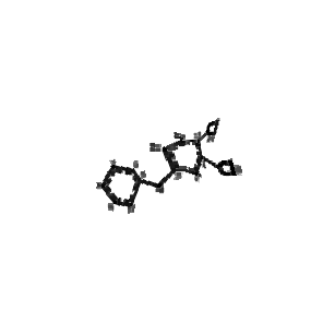 Clc1[c]c(Cc2ccccc2)ccc1Cl